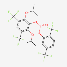 CC(C)Oc1c(C(F)(F)F)cc(C(F)(F)F)c(OC(C)C)c1OB(O)Oc1cc(C(F)(F)F)ccc1C(F)(F)F